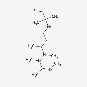 COC(C)N(C)N(C)C(C)CCNC(C)(C)CF